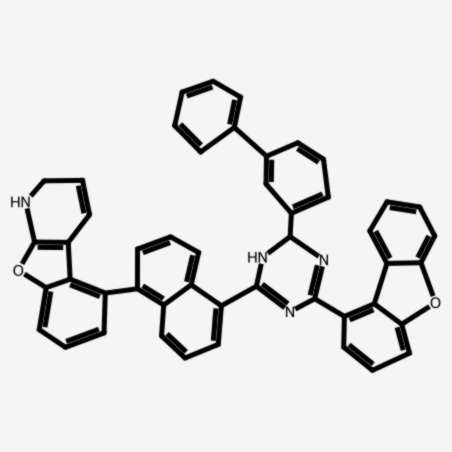 C1=Cc2c(oc3cccc(-c4cccc5c(C6=NC(c7cccc8oc9ccccc9c78)=NC(c7cccc(-c8ccccc8)c7)N6)cccc45)c23)NC1